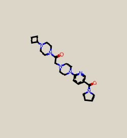 O=C(CN1CCN(c2ccc(C(=O)N3CCCC3)cn2)CC1)N1CCN(C2CCC2)CC1